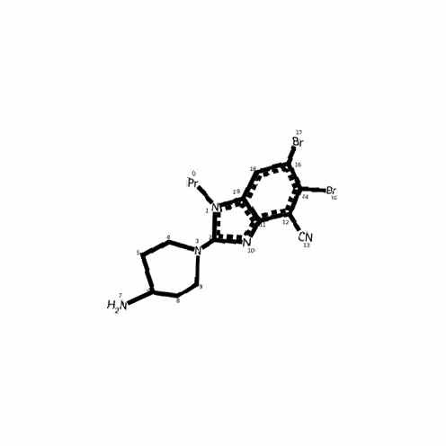 CC(C)n1c(N2CCC(N)CC2)nc2c(C#N)c(Br)c(Br)cc21